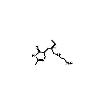 C/C=C(/CNCCOC)CC1CN=C(C)NC1=O